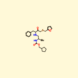 CCC(C)C(CNC(Cc1ccccc1)C(=O)CSCc1ccco1)NC(=O)OCC1CCCC1